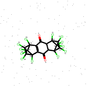 O=C1C2=C(C(=O)C3C1C1(Cl)C(Cl)=C(Cl)C3(Cl)C1(Cl)Cl)C1(Cl)C(Cl)=C(Cl)C2(Cl)C1(Cl)Cl